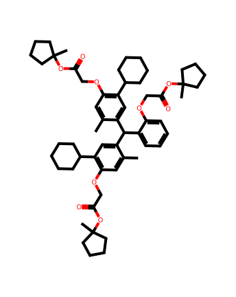 Cc1cc(OCC(=O)OC2(C)CCCC2)c(C2CCCCC2)cc1C(c1cc(C2CCCCC2)c(OCC(=O)OC2(C)CCCC2)cc1C)c1ccccc1OCC(=O)OC1(C)CCCC1